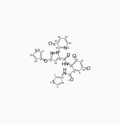 O=C(Nc1ccsc1)c1cc(Cl)cc(Cl)c1NC(=O)c1cc(Oc2ccsc2)nn1-c1ncccc1Cl